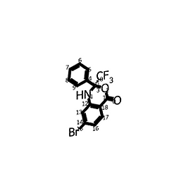 O=C1O[C@@](c2ccccc2)(C(F)(F)F)Nc2cc(Br)ccc21